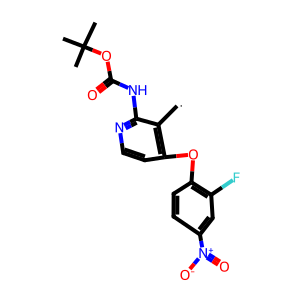 [CH2]c1c(Oc2ccc([N+](=O)[O-])cc2F)ccnc1NC(=O)OC(C)(C)C